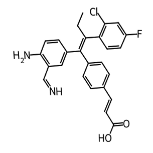 CC/C(=C(/c1ccc(/C=C/C(=O)O)cc1)c1ccc(N)c(C=N)c1)c1ccc(F)cc1Cl